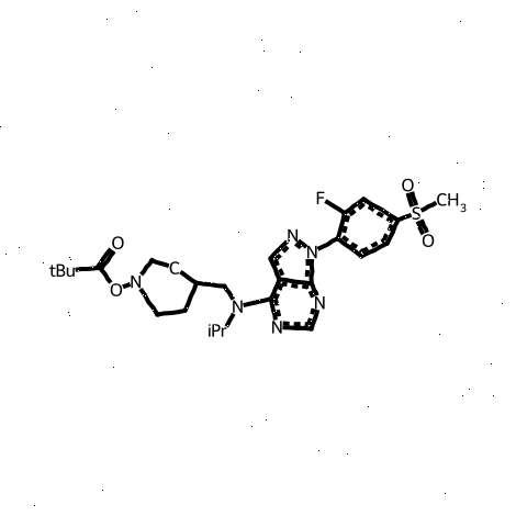 CC(C)N(CC1CCN(OC(=O)C(C)(C)C)CC1)c1ncnc2c1cnn2-c1ccc(S(C)(=O)=O)cc1F